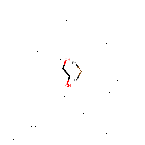 CCSCC.OCCO